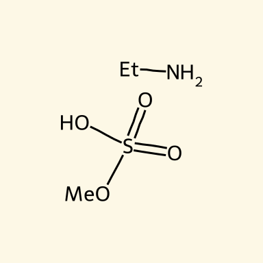 CCN.COS(=O)(=O)O